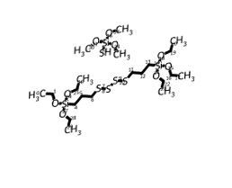 CCO[Si](CCCSSSSCCC[Si](OCC)(OCC)OCC)(OCC)OCC.CO[Si](S)(OC)OC